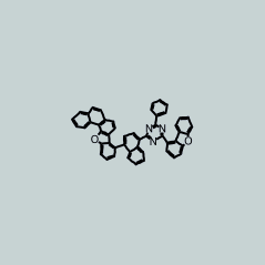 c1ccc(-c2nc(-c3ccc(-c4cccc5oc6c(ccc7ccc8ccccc8c76)c45)c4ccccc34)nc(-c3cccc4oc5ccccc5c34)n2)cc1